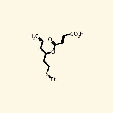 C=CCC(CCSCC)OC(=O)C=CC(=O)O